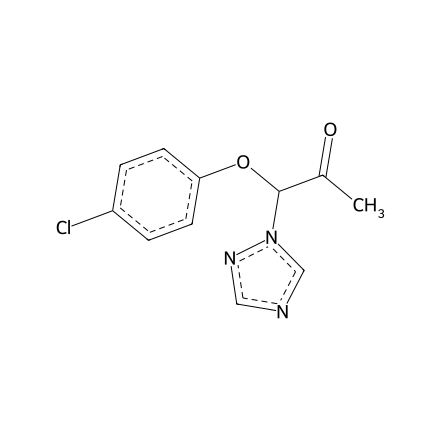 CC(=O)C(Oc1ccc(Cl)cc1)n1cncn1